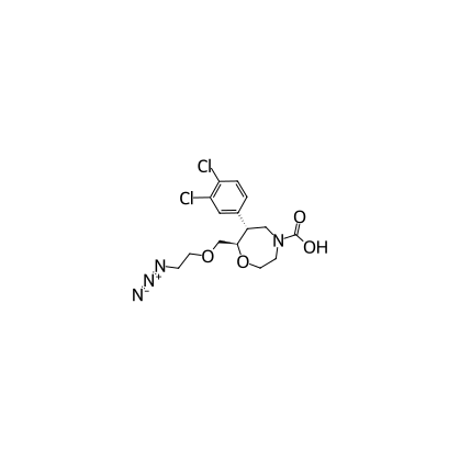 [N-]=[N+]=NCCOC[C@@H]1OCCN(C(=O)O)C[C@H]1c1ccc(Cl)c(Cl)c1